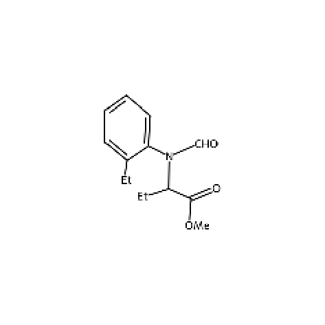 CCc1ccccc1N(C=O)C(CC)C(=O)OC